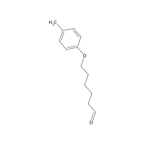 Cc1ccc(OCCCCCC=O)cc1